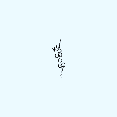 CCCCCC1COC(c2ccc(C(=O)Oc3ccc(OCCCC)c(C#N)c3)cc2)OC1